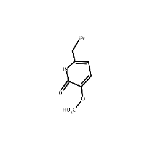 CC(C)Cc1ccc(OC(=O)O)c(=O)[nH]1